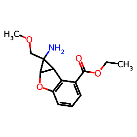 CCOC(=O)c1cccc2c1C1C(O2)C1(N)COC